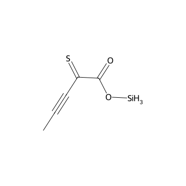 CC#CC(=S)C(=O)O[SiH3]